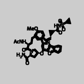 COc1ccc(-c2cc(O[C@@H]3C[C@@H](C(N)=O)N(C(=O)[C@H](CCCCC/C=C\[C@@H]4C[C@@H]4C(=O)NS(=O)(=O)C4CC4)NC(C)=O)C3)c3oc4ccccc4c3n2)cc1